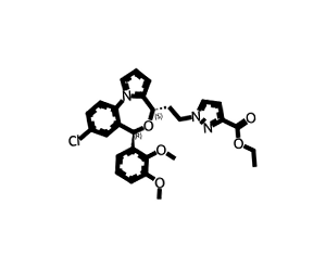 CCOC(=O)c1ccn(CC[C@@H]2O[C@@H](c3cccc(OC)c3OC)c3cc(Cl)ccc3-n3cccc32)n1